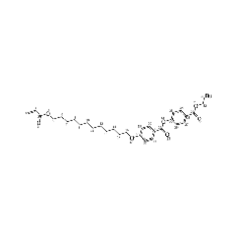 C=CC(=O)OCCCCCCCCCCCCOc1ccc(C(=O)Oc2ccc(C(=O)OCC(C)CC)cc2)cc1